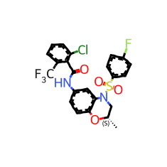 C[C@H]1CN(S(=O)(=O)c2ccc(F)cc2)c2cc(NC(=O)c3c(Cl)cccc3C(F)(F)F)ccc2O1